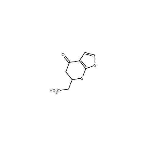 O=C(O)CC1CC(=O)c2ccsc2S1